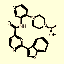 CB(O)N1CCN(c2ccncc2NC(=O)c2ccnc(-c3csc4ccccc34)n2)CC1